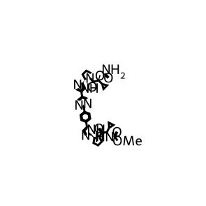 COC(=O)N[C@H](C(=O)N1CCC[C@H]1c1ncc(-c2ccc(-c3ncc(-c4cnc([C@@H]5CCCN5C(=O)[C@@H](OC(N)=O)C5CC5)[nH]4)cn3)cc2)[nH]1)C1CC1